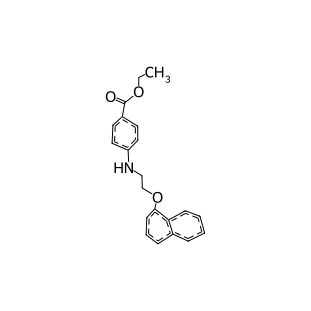 CCOC(=O)c1ccc(NCCOc2cccc3ccccc23)cc1